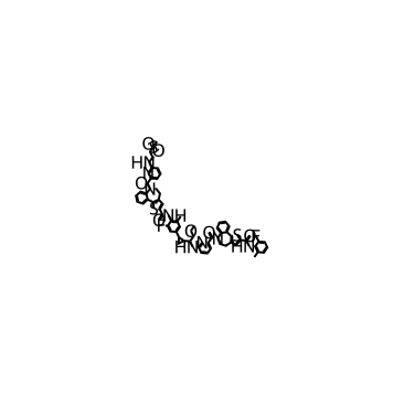 COCC(Nc1cccc(C(=O)N2CCc3cc(C(=O)Nc4c(C)cccc4F)sc3-c3ccccc32)n1)C1CC1c1cc(C)c(NC(=O)c2cc3c(s2)-c2ccccc2N(C(=O)c2cccc(NCCS(C)(=O)=O)n2)CC3)c(F)c1